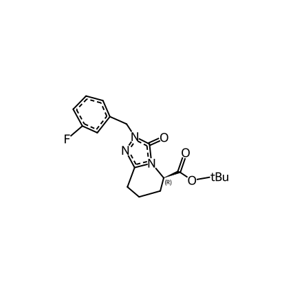 CC(C)(C)OC(=O)[C@H]1CCCc2nn(Cc3cccc(F)c3)c(=O)n21